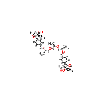 CC(COCC(C)OCC(C)OCc1ccc(C(=O)C(C)(C)O)cc1)OCc1ccc(C(=O)C(C)(C)O)cc1